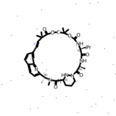 CC(C)[C@@H]1NC(=O)OC(C)(C)COC(=O)C(C)(C)/C=C/c2ccc3ccc(nc3c2)[C@@H](C)N(C)C(=O)[C@@H]2CCCN(N2)C(=O)[C@H](C)NC1=O